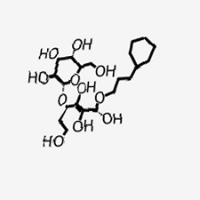 OCC[C@@H](O[C@H]1OC(CO)[C@@H](O)C(O)C1O)/C(O)=C(\O)[C@@H](O)OCCCC1CCCCC1